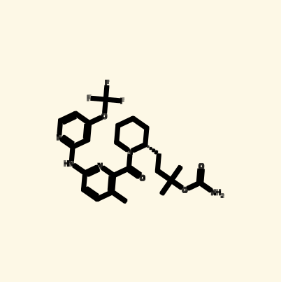 Cc1ccc(Nc2cc(OC(F)(F)F)ccn2)nc1C(=O)N1CCCC[C@@H]1CCC(C)(C)OC(N)=O